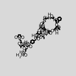 C=C1C(=O)N[C@@H](C)C(=O)N(C)[C@@H](C)C(=O)N[C@@H]([C@H](OC(=O)[C@@H](NC(=O)CC)[C@H](OP(=O)(O)OCc2ccc(NC(=O)[C@H](CCCNC(N)=O)NC(=O)[C@@H](NC(=O)CCN3C(=O)C=CC3=O)C(C)C)cc2)C(C)C)C(C)C)C(=O)N(C)[C@@H]([C@@H](C)OC)C(=O)O[C@H](C)[C@H](NC(C)=O)C(=O)O[C@H](Cc2ccccc2)C(=O)N1C